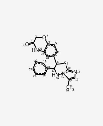 O=C1COc2ccc(C3SC4=NC=C(C(F)(F)F)[N+]4NC3c3ccccc3)cc2N1